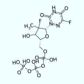 CC1(F)C(O)[C@@H](COP(=O)(O)OP(=O)(O)OP(=O)(O)O)O[C@H]1n1nc(F)c(=O)[nH]c1=O